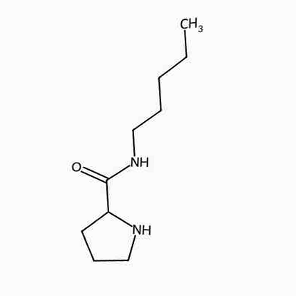 CCCCCNC(=O)C1CCCN1